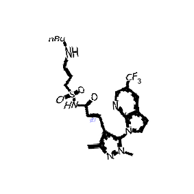 CCCCNC=CCS(=O)(=O)NC(=O)/C=C/c1c(C)nn(C)c1-n1ccc2cc(C(F)(F)F)cnc21